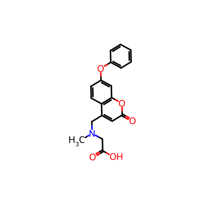 CN(CC(=O)O)Cc1cc(=O)oc2cc(Oc3ccccc3)ccc12